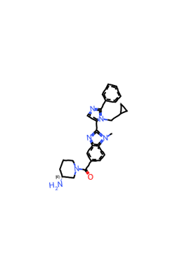 Cn1c(-c2cnc(-c3ccccc3)n2CC2CC2)nc2cc(C(=O)N3CCC[C@@H](N)C3)ccc21